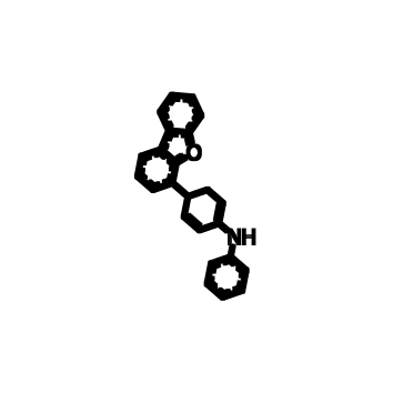 C1=CC(c2cccc3c2oc2ccccc23)CC=C1Nc1ccccc1